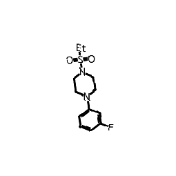 CCS(=O)(=O)N1CCN(c2cccc(F)c2)CC1